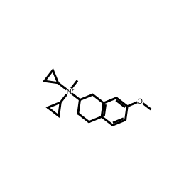 COc1ccc2c(c1)CC([N+](C)(C1CC1)C1CC1)CC2